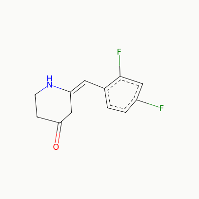 O=C1CCNC(=Cc2ccc(F)cc2F)C1